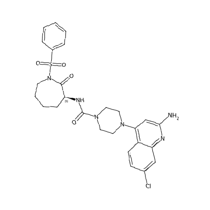 Nc1cc(N2CCN(C(=O)N[C@H]3CCCCN(S(=O)(=O)c4ccccc4)C3=O)CC2)c2ccc(Cl)cc2n1